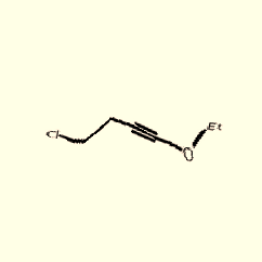 [CH2]COC#CCCCl